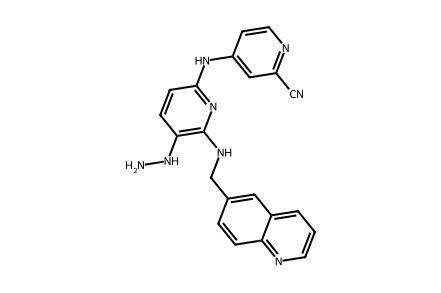 N#Cc1cc(Nc2ccc(NN)c(NCc3ccc4ncccc4c3)n2)ccn1